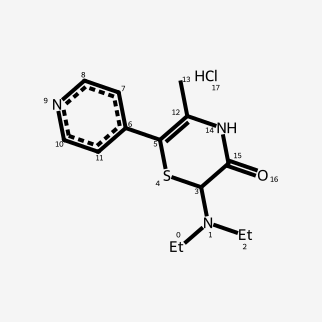 CCN(CC)C1SC(c2ccncc2)=C(C)NC1=O.Cl